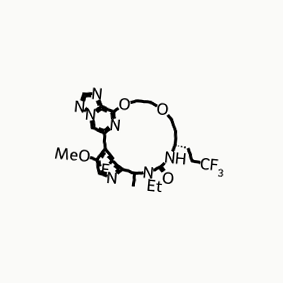 CCN1C(=O)N[C@@H](CCC(F)(F)F)CCOCCOc2nc(cn3ncnc23)-c2c(OC)cnc(c2F)C1C